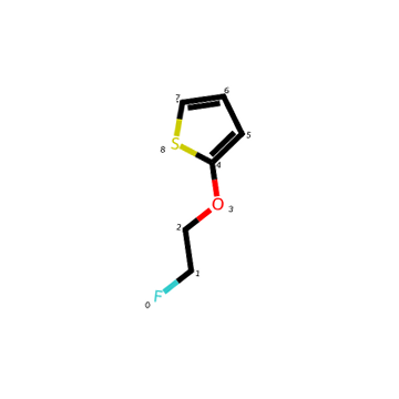 FCCOc1cc[c]s1